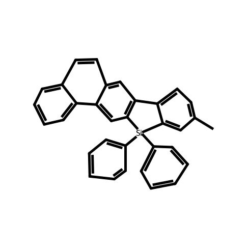 Cc1ccc2c(c1)[Si](c1ccccc1)(c1ccccc1)c1cc3c(ccc4ccccc43)cc1-2